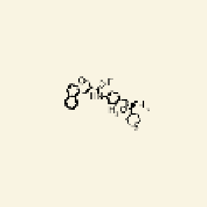 C[N+](C)(Cc1ccc(NC(=O)C2=Cc3c(ccc4ccccc34)OC2)cc1)C1CCSCC1.[I-]